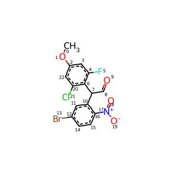 COc1cc(F)c(C(C=O)c2cc(Br)ccc2[N+](=O)[O-])c(Cl)c1